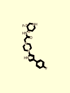 O=C(CN1CCN(c2cc(-c3ccc(F)cc3)c[nH]2)CC1)N[C@@H]1CCNC[C@H]1F